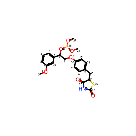 COc1cccc(C(COc2ccc(CC3SC(=O)NC3=O)cc2)OP(OC)OC)c1